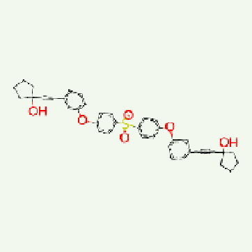 O=S(=O)(c1ccc(Oc2cccc(C#CC3(O)CCCC3)c2)cc1)c1ccc(Oc2cccc(C#CC3(O)CCCC3)c2)cc1